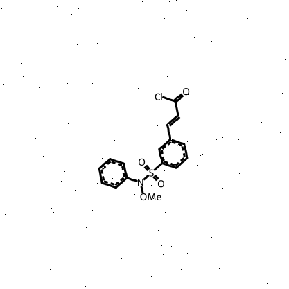 CON(c1ccccc1)S(=O)(=O)c1cccc(C=CC(=O)Cl)c1